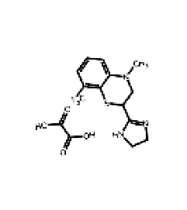 CN1CC(C2=NCCN2)Sc2c1cccc2C(F)(F)F.O=C(O)C(=O)O